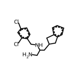 NCC(CC1Cc2ccccc2C1)NCc1ccc(Cl)cc1Cl